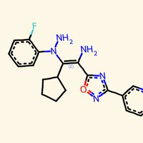 N/C(=C(/C1CCCC1)N(N)c1ccccc1F)c1nc(-c2cccnc2)no1